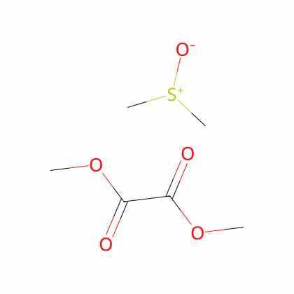 COC(=O)C(=O)OC.C[S+](C)[O-]